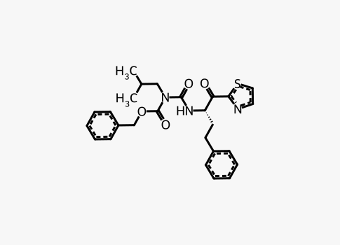 CC(C)CN(C(=O)N[C@@H](CCc1ccccc1)C(=O)c1nccs1)C(=O)OCc1ccccc1